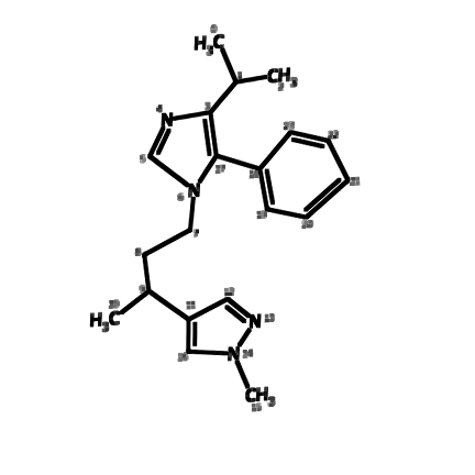 CC(C)c1ncn(CCC(C)c2cnn(C)c2)c1-c1ccccc1